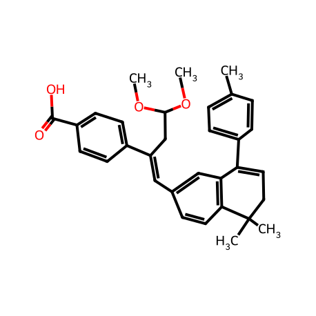 COC(CC(=Cc1ccc2c(c1)C(c1ccc(C)cc1)=CCC2(C)C)c1ccc(C(=O)O)cc1)OC